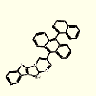 C1=NC2Nc3c(sc4ccccc34)N2C=C1c1c2ccccc2c(-c2cccc3ccccc23)c2ccccc12